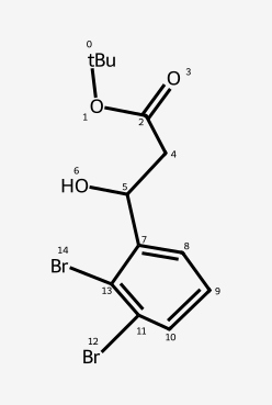 CC(C)(C)OC(=O)CC(O)c1cccc(Br)c1Br